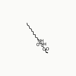 C=CC(=O)OCCNC(=O)NCCCCCCCCCCCC